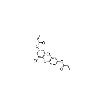 C=CC(=O)Oc1ccc(Oc2ccc(OC(=O)C=C)cc2CC)c(CC)c1